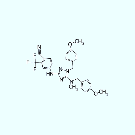 COc1ccc(CN(C)c2nc(Nc3ccc(C#N)c(C(F)(F)F)c3)nn2Cc2ccc(OC)cc2)cc1